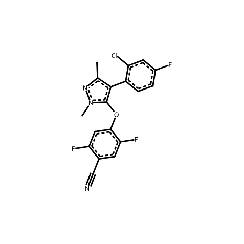 Cc1nn(C)c(Oc2cc(F)c(C#N)cc2F)c1-c1ccc(F)cc1Cl